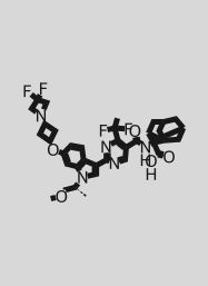 COC[C@@H](C)n1cc(-c2ncc(C(=O)NC3(C(=O)O)C4CC5CC(C4)CC3C5)c(C(C)(F)F)n2)c2ccc(O[C@H]3C[C@@H](N4CC(F)(F)C4)C3)cc21